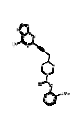 COc1ccccc1OC(=O)N1CCC(CC#Cc2nc(N)c3nc[nH]c3n2)CC1